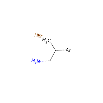 Br.CC(=O)C(C)CN